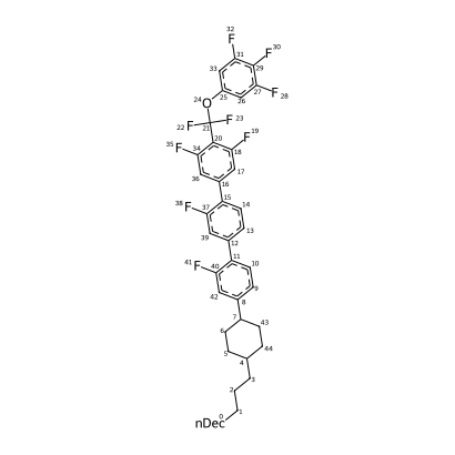 CCCCCCCCCCCCCC1CCC(c2ccc(-c3ccc(-c4cc(F)c(C(F)(F)Oc5cc(F)c(F)c(F)c5)c(F)c4)c(F)c3)c(F)c2)CC1